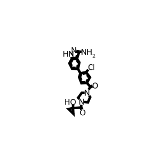 Nc1n[nH]c2ccc(-c3ccc(C(=O)N4CCN(C(=O)C5(O)CC5)CC4)cc3Cl)cc12